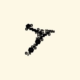 CNC(=O)NCCC[C@H](NC(=O)[C@@H](NC(=O)CCCCCN1C(=O)C=CC1=O)C(C)C)C(=O)Nc1ccc(COC(=O)Oc2ccc([N+](=O)[O-])cc2)cc1